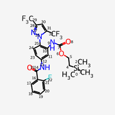 C[Si](C)(C)CCOC(=O)Nc1cc(NC(=O)c2ccccc2F)ccc1-n1nc(C(F)(F)F)cc1C(F)(F)F